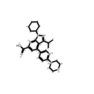 CC(C)c1nn(C2CCCCC2)c2nc(C(=O)O)cc(-c3ccc(N4CCOCC4)nc3)c12